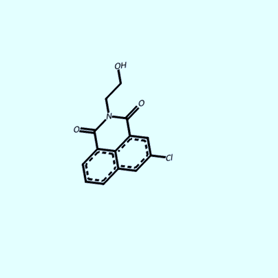 O=C1c2cccc3cc(Cl)cc(c23)C(=O)N1CCO